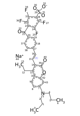 CCCN(CCC)c1ccc2c(CC)c(/C=C/c3ccc(C(=O)c4c(F)c(F)c(S(=O)(=O)[O-])c(F)c4F)cc3)c(=O)oc2c1.[Na+]